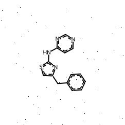 c1ccc(Cc2csc(Nc3ccncn3)n2)cc1